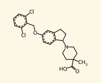 CC1(C(=O)O)CCN(C2CCc3cc(OCc4c(Cl)cccc4Cl)ccc32)CC1